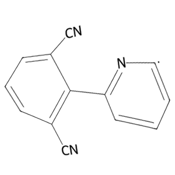 N#Cc1cccc(C#N)c1-c1ccc[c]n1